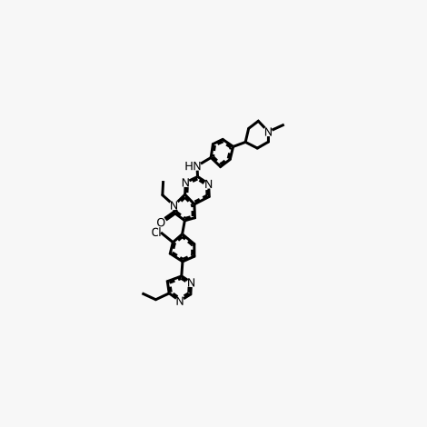 CCc1cc(-c2ccc(-c3cc4cnc(Nc5ccc(C6CCN(C)CC6)cc5)nc4n(CC)c3=O)c(Cl)c2)ncn1